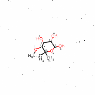 CO[C@H]1[C@H](O)[C@H](O)C(O)OC1(C)C